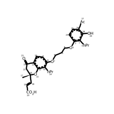 CCCc1c(OCCCOc2ccc3c(c2CCC)O[C@](C)(/C=C/C(=O)O)CC3=O)ccc(C(C)=O)c1O